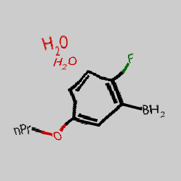 Bc1cc(OCCC)ccc1F.O.O